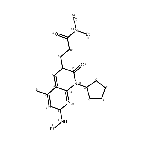 CCNC1N=C(C)C2=CC(CCC(=O)N(CC)CC)C(=O)N(C3CCCC3)C2=N1